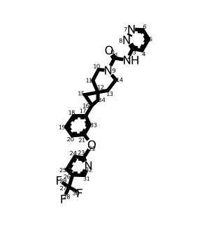 O=C(Nc1cccnn1)N1CCC2(CC1)CC(c1cccc(Oc3ccc(C(F)(F)F)cn3)c1)C2